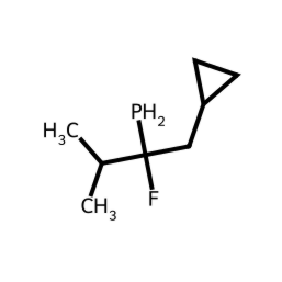 CC(C)C(F)(P)CC1CC1